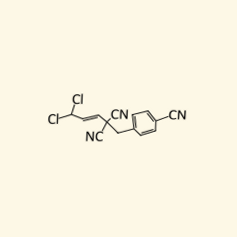 N#Cc1ccc(CC(C#N)(C#N)/C=C/C(Cl)Cl)cc1